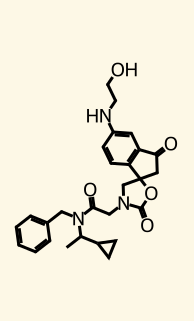 CC(C1CC1)N(Cc1ccccc1)C(=O)CN1CC2(CC(=O)c3cc(NCCO)ccc32)OC1=O